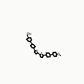 COc1ccc(-c2ccc(-c3ccc(-c4ccc(-c5ccc(-c6ccc(CO)cc6)cc5)s4)s3)cc2)cc1